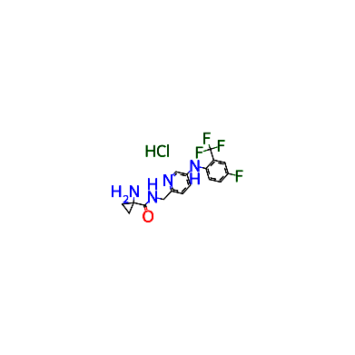 Cl.NC1(C(=O)NCc2ccc(Nc3ccc(F)cc3C(F)(F)F)cn2)CC1